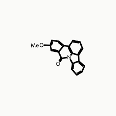 COc1ccc2c(c1)c(=O)n1c3ccccc3c3cccc2c31